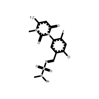 CC(C)N(C)S(=O)(=O)/N=C/c1cc(-n2c(=O)cc(C(F)(F)F)n(C)c2=O)c(F)cc1Cl